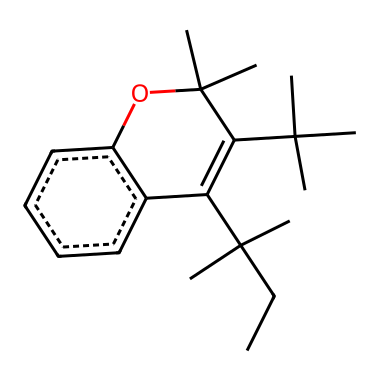 CCC(C)(C)C1=C(C(C)(C)C)C(C)(C)Oc2ccccc21